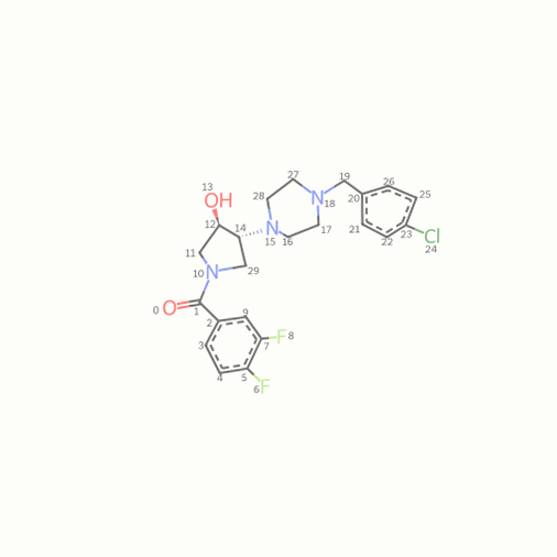 O=C(c1ccc(F)c(F)c1)N1C[C@@H](O)[C@H](N2CCN(Cc3ccc(Cl)cc3)CC2)C1